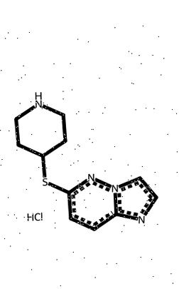 Cl.c1cn2nc(SC3CCNCC3)ccc2n1